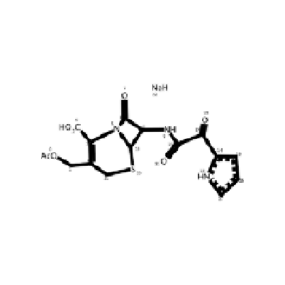 CC(=O)OCC1=C(C(=O)O)N2C(=O)C(NC(=O)C(=O)c3ccc[nH]3)C2SC1.[NaH]